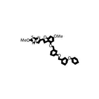 COc1cc(OCc2cccc(OCc3cccc(Oc4ccccc4)c3)c2)c2cc(-c3cn4nc(OC)sc4n3)oc2c1